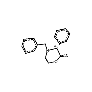 O=C1OCCN(Cc2ccccc2)[C@@H]1c1ccccc1